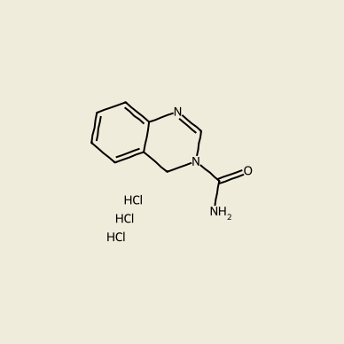 Cl.Cl.Cl.NC(=O)N1C=Nc2ccccc2C1